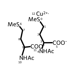 CSCCC(NC(C)=O)C(=O)[O-].CSCCC(NC(C)=O)C(=O)[O-].[Cu+2]